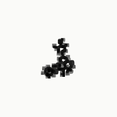 COc1c(C)cc(-c2ccc3c(c2)OCC(C)(C)C3NC(=O)O[C@H]2CN3CCC2CC3)cc1C